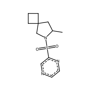 CC1CC2(CCC2)CN1S(=O)(=O)c1cnccn1